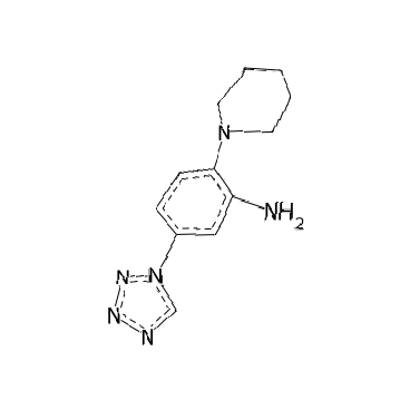 Nc1cc(-n2cnnn2)ccc1N1CCCCC1